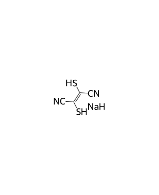 N#C/C(S)=C(\S)C#N.[NaH]